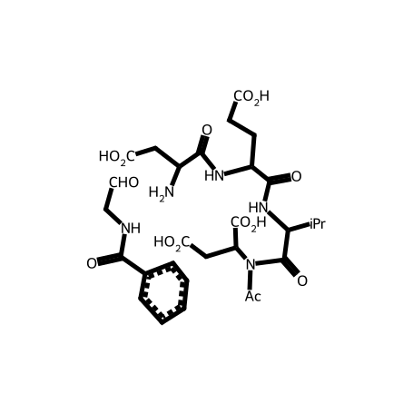 CC(=O)N(C(=O)C(NC(=O)C(CCC(=O)O)NC(=O)C(N)CC(=O)O)C(C)C)C(CC(=O)O)C(=O)O.O=CCNC(=O)c1ccccc1